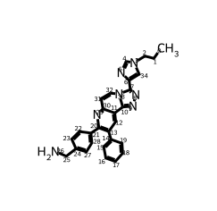 CCCn1cnc(-c2nnc3c4cc(-c5ccccc5)c(-c5ccc(CN)cc5)nc4ccn23)c1